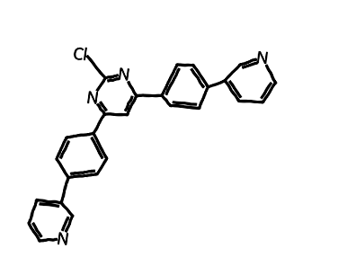 Clc1nc(-c2ccc(-c3cccnc3)cc2)cc(-c2ccc(-c3cccnc3)cc2)n1